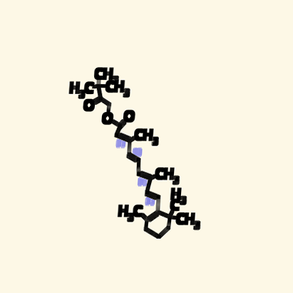 CC1=C(/C=C/C(C)=C/C=C/C(C)=C/C(=O)OCC(=O)C(C)(C)C)C(C)(C)CCC1